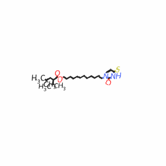 CC(C)CC(C(=O)OCCCCCCCCCCCCn1ccc(=S)[nH]c1=O)C(C)C